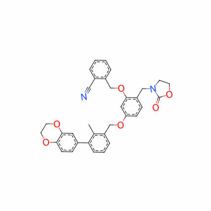 Cc1c(COc2ccc(CN3CCOC3=O)c(OCc3ccccc3C#N)c2)cccc1-c1ccc2c(c1)OCCO2